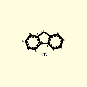 [Cl-].c1ccc2c(c1)[I+]c1ccccc1-2